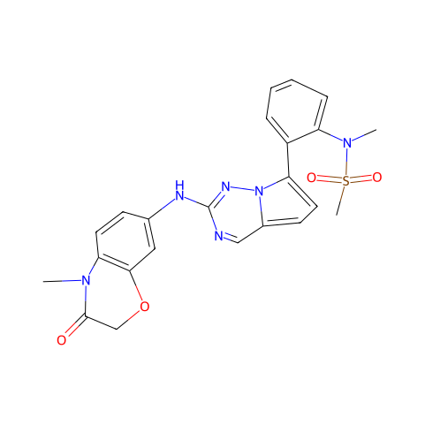 CN1C(=O)COc2cc(Nc3ncc4ccc(-c5ccccc5N(C)S(C)(=O)=O)n4n3)ccc21